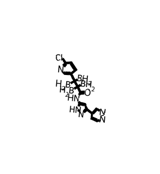 BC(B)(C(=O)Nc1cc(-c2ccnnc2)n[nH]1)C(B)(B)c1ccc(Cl)nc1